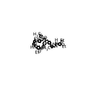 CCOc1ccc(Nc2ncc3cc(C)n(-c4ccc(CC(C(=O)C(Cc5ccc(-n6c(C)cc7cnc(Nc8ccc(OCC)c(OCC)c8)nc76)cc5)N5CCN(C)CC5)N5CCN(C)CC5)cc4)c3n2)cc1OCC